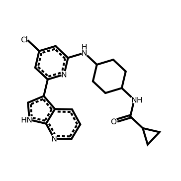 O=C(NC1CCC(Nc2cc(Cl)cc(-c3c[nH]c4ncccc34)n2)CC1)C1CC1